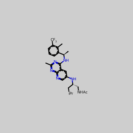 CC(=O)NC[C@H](CC(C)C)Nc1cnc2nc(C)nc(N[C@H](C)c3cccc(C(F)(F)F)c3C)c2c1